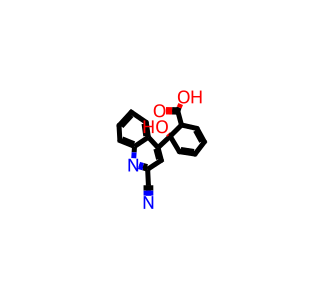 N#Cc1cc(C2(O)C=CC=CC2C(=O)O)c2ccccc2n1